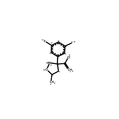 [CH2]C1CC(C(=C)Cl)(c2cc(F)cc(F)c2)NO1